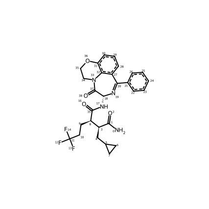 NC(=O)[C@@H](CC1CC1)[C@@H](CCC(F)(F)F)C(=O)N[C@H]1N=C(c2ccccc2)c2cccc3c2N(CCO3)C1=O